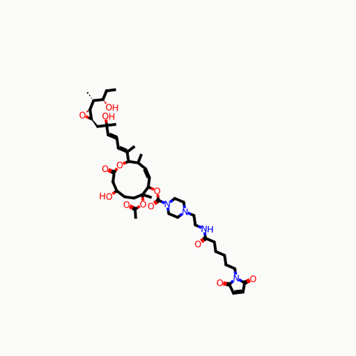 CC[C@H](O)[C@@H](C)[C@H]1O[C@@H]1CC(C)(O)/C=C/C=C(\C)C1OC(=O)CC(O)CCC(C)(OC(C)=O)C(OC(=O)N2CCN(CCNC(=O)CCCCCN3C(=O)C=CC3=O)CC2)C=CC1C